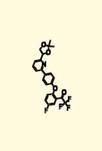 CC1(C)OCC(c2cccc(-c3ccc(Oc4ccc(F)cc4C(=O)C(F)(F)F)cc3)n2)O1